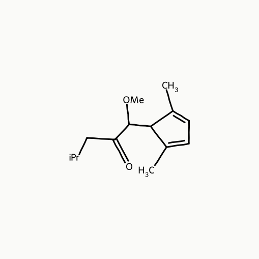 COC(C(=O)CC(C)C)C1C(C)=CC=C1C